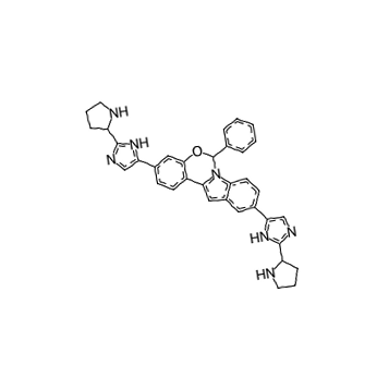 c1ccc(C2Oc3cc(-c4cnc(C5CCCN5)[nH]4)ccc3-c3cc4cc(-c5cnc(C6CCCN6)[nH]5)ccc4n32)cc1